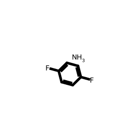 Fc1ccc(F)cc1.N